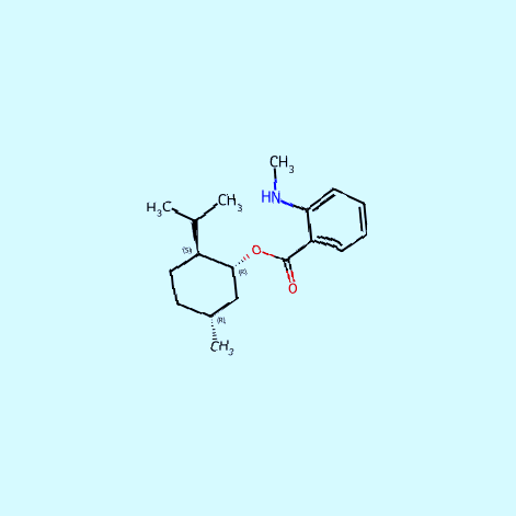 CNc1ccccc1C(=O)O[C@@H]1C[C@H](C)CC[C@H]1C(C)C